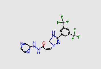 O=C(/C=C\N1CNC(c2cc(C(F)(F)F)cc(C(F)(F)F)c2)=N1)NNc1cnccn1